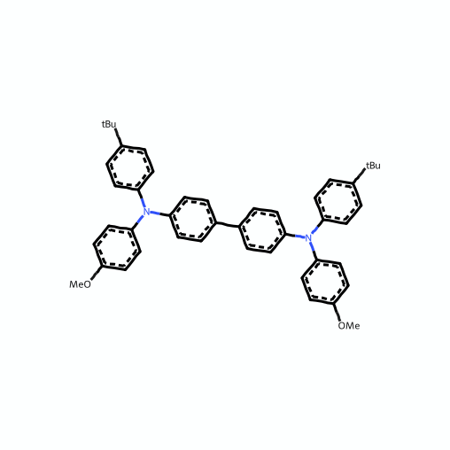 COc1ccc(N(c2ccc(-c3ccc(N(c4ccc(OC)cc4)c4ccc(C(C)(C)C)cc4)cc3)cc2)c2ccc(C(C)(C)C)cc2)cc1